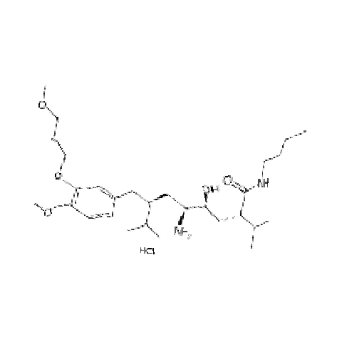 CCCCNC(=O)[C@@H](C[C@H](O)[C@@H](N)C[C@H](Cc1ccc(OC)c(OCCCOC)c1)C(C)C)C(C)C.Cl